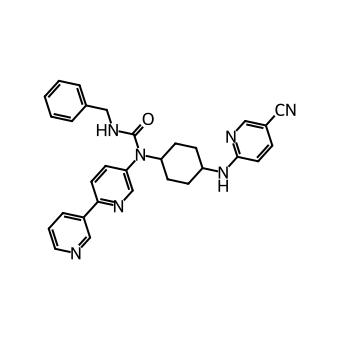 N#Cc1ccc(NC2CCC(N(C(=O)NCc3ccccc3)c3ccc(-c4cccnc4)nc3)CC2)nc1